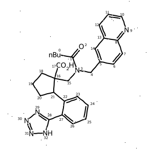 CCCCC(=O)N(Cc1ccc2ncccc2c1)CC1(C(=O)O)CCCC1c1ccccc1-c1nnn[nH]1